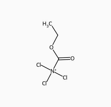 CCOC(=O)[N+](Cl)(Cl)Cl